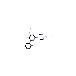 CCS(=O)(=O)Nc1cc(N2CCN(C)CC2)cc(-c2ccccc2C)c1Cl